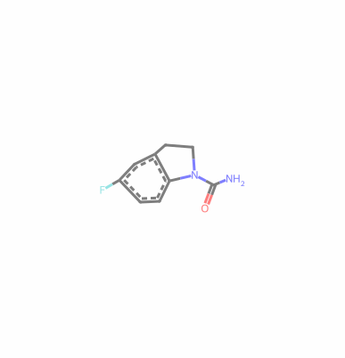 NC(=O)N1CCc2cc(F)ccc21